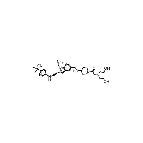 CC(C)(C#N)c1ccc(NC#Cc2cc3cc(CNC4CCN(C(=O)CN(CCO)CCO)CC4)ccc3n2CC(F)(F)F)cn1